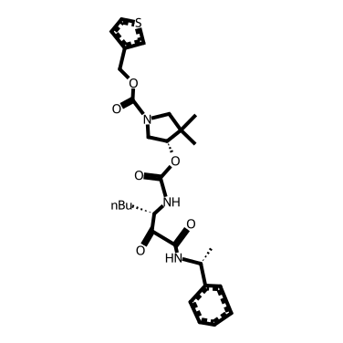 CCCC[C@H](NC(=O)O[C@@H]1CN(C(=O)OCc2ccsc2)CC1(C)C)C(=O)C(=O)N[C@H](C)c1ccccc1